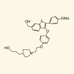 COc1ccc(-c2sc3cc(CO)ccc3c2Oc2ccc(OCCN3CCC(CCCO)CC3)cc2)cc1